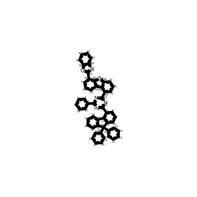 c1ccc(-c2nc(-c3cccc4c3-c3ccccc3C4(c3ccccc3)c3ccccc3)nc(-c3cccc4sc5c(-c6nc7ccccc7o6)cccc5c34)n2)cc1